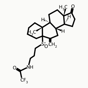 C=C1C[C@H]2[C@@H]3CCC(=O)[C@@]3(C)CC[C@@H]2[C@@]2(C)CCCCC12[S+]([O-])CCCNC(=O)C(F)(F)F